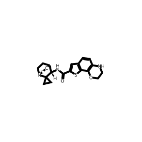 O=C(N[C@H]1C2CCN(CC2)C12CC2)c1cc2ccc3c(c2s1)OCCN3